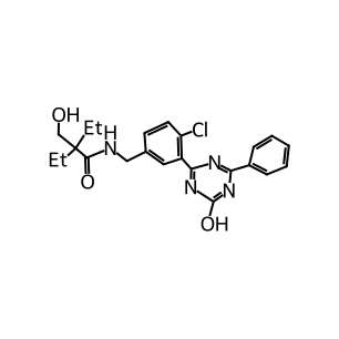 CCC(CC)(CO)C(=O)NCc1ccc(Cl)c(-c2nc(O)nc(-c3ccccc3)n2)c1